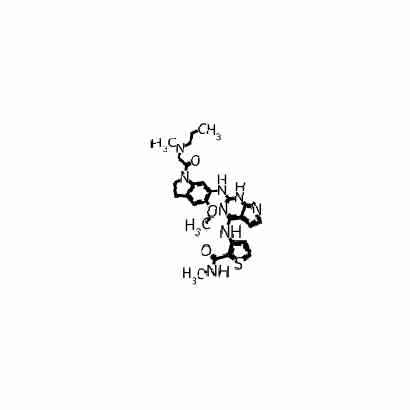 CCCN(C)CC(=O)N1CCc2cc(OC)c(Nc3nc(Nc4ccsc4C(=O)NC)c4ccnc-4[nH]3)cc21